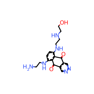 NCCNc1ccc(NCCNCCO)c2c1C(=O)c1cnncc1C2=O